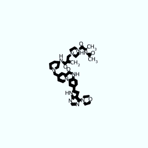 C=C(CN1CCN(C(=O)[C@H](C)NC(C)=O)CC1)C(=O)N[C@@H]1CCCN(Cc2ccnc(C(=O)Nc3ccc(-c4cc5c(N6CCOCC6)ncnc5[nH]4)cc3)c2)C1